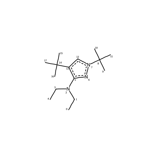 CCN(CC)c1nn(C(C)(C)C)cc1C(C)(C)C